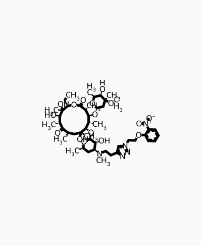 CC[C@H]1OC(=O)[C@H](C)[C@@H](O[C@H]2C[C@@](C)(OC)[C@@H](O)[C@H](C)O2)[C@H](C)[C@@H](O[C@@H]2O[C@H](C)C[C@H](N(C)CCc3cn(CCOc4ccccc4[N+](=O)[O-])nn3)[C@H]2O)[C@](C)(O)C[C@@H](C)C(=O)[C@H](C)[C@@H](O)[C@]1(C)O